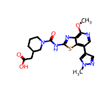 COc1ncc(-c2cnn(C)c2)c2sc(NC(=O)N3CCCC(CC(=O)O)C3)nc12